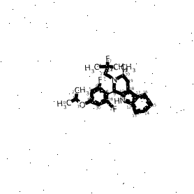 CC(C)Oc1cc(F)c([C@@H]2c3[nH]c4ccccc4c3C[C@@H](C)N2CC(C)(C)F)c(F)c1